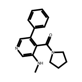 CNc1cn[c]c(-c2ccccc2)c1C(=O)N1CCCC1